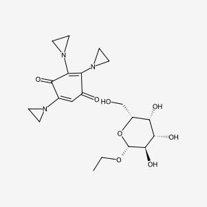 CCO[C@@H]1O[C@H](CO)[C@H](O)[C@H](O)[C@H]1O.O=C1C=C(N2CC2)C(=O)C(N2CC2)=C1N1CC1